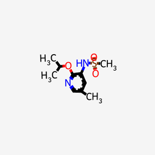 Cc1cnc(OC(C)C)c(NS(C)(=O)=O)c1